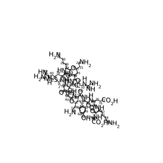 CSCC[C@H](NC(=O)[C@H](CCCNC(=N)N)NC(=O)[C@H](CCCCN)NC(=O)[C@H](CCCCN)NC(=O)[C@@H](N)CCCNC(=N)N)C(=O)N[C@@H](C)C(=O)N[C@@H](CCCCN)C(=O)N[C@@H](Cc1ccc(O)cc1)C(=O)N[C@@H](CCC(=O)O)C(=O)N[C@@H](CCCCN)C(=O)N[C@@H](C)C(=O)O